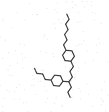 [CH2]CCC(CCCC1CCC(CCCCCCC)CC1)C1CCC(CCCC)CC1